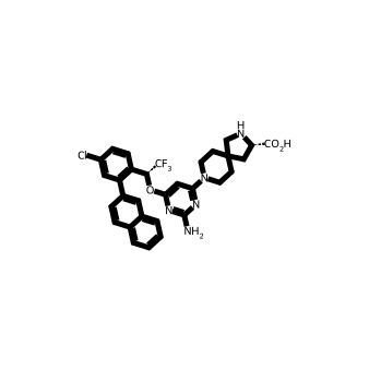 Nc1nc(O[C@H](c2ccc(Cl)cc2-c2ccc3ccccc3c2)C(F)(F)F)cc(N2CCC3(CC2)CN[C@H](C(=O)O)C3)n1